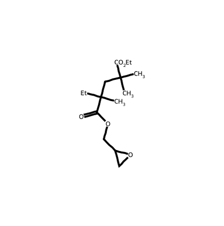 CCOC(=O)C(C)(C)CC(C)(CC)C(=O)OCC1CO1